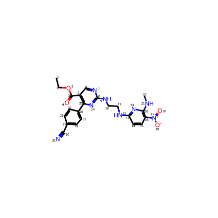 CCOC(=O)c1cnc(NCCNc2ccc([N+](=O)[O-])c(NC)n2)nc1-c1ccc(C#N)cc1